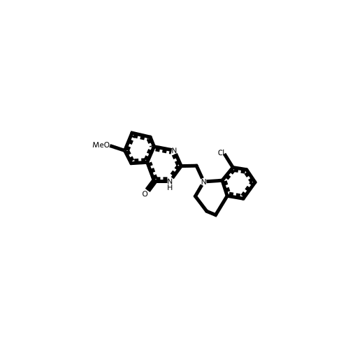 COc1ccc2nc(CN3CCCc4cccc(Cl)c43)[nH]c(=O)c2c1